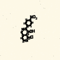 O=[N+]([O-])c1ccc(N2N=Cc3ccnc(Cl)c3B2O)cc1